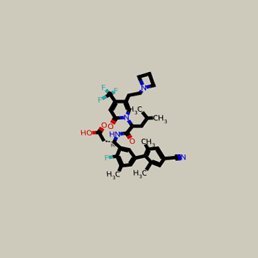 Cc1cc(-c2c(C)cc(C#N)cc2C)cc([C@H](CC(=O)O)NC(=O)C(CC(C)C)n2cc(CCN3CCC3)c(C(F)(F)F)cc2=O)c1F